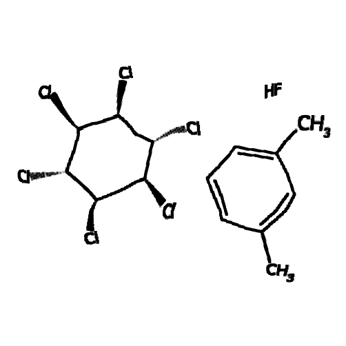 Cc1cccc(C)c1.Cl[C@H]1[C@H](Cl)[C@@H](Cl)[C@@H](Cl)[C@H](Cl)[C@H]1Cl.F